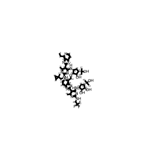 CCc1nccc2sc(-c3c(C)nc(NCC4(C)CC4)nc3N[C@@H]3C[C@H](C(C)(C)O)[C@@H](O)[C@H]3OCc3nccc4sc(-c5c(C)nc(NCC(F)(F)F)nc5N[C@@H]5C[C@H](C(C)(C)O)[C@@H](O)[C@H]5O)nc34)nc12